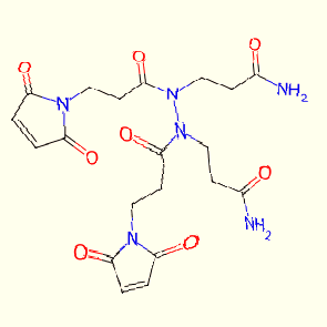 NC(=O)CCN(C(=O)CCN1C(=O)C=CC1=O)N(CCC(N)=O)C(=O)CCN1C(=O)C=CC1=O